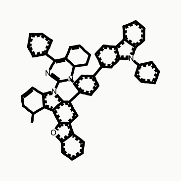 CC1CC=Cc2c1c1c3oc4ccccc4c3cc(-c3ccc(-c4ccc5c6ccccc6n(-c6ccccc6)c5c4)cc3)c1n2C1=NC(c2ccccc2)=C2C=CCCC2N1C